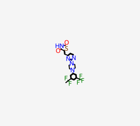 CC(F)(F)c1cc(N2CCN(c3nccc(/C=C4\SC(=O)NC4=O)n3)CC2)cc(C(F)(F)F)c1